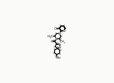 CC1CN(c2ncccc2Cl)CC(C)N1C(=O)C1=NOC2(CCC(C(C)(C)C)CC2)C1